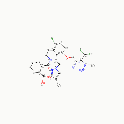 Cc1cnn(C[C@@H]2c3c(OC/C(N)=C(\C(F)F)N(C)N)ccc(Cl)c3CCN2C(=O)[C@@H]2CCCC[C@@H]2C(=O)O)c1